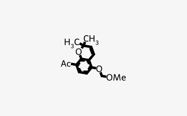 COCOc1ccc(C(C)=O)c2c1C=CC(C)(C)O2